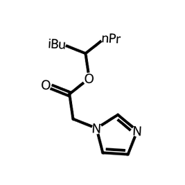 CCCC(OC(=O)Cn1ccnc1)C(C)CC